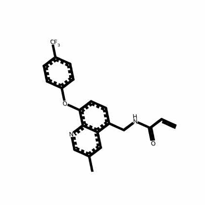 C=CC(=O)NCc1ccc(Oc2ccc(C(F)(F)F)cc2)c2ncc(C)cc12